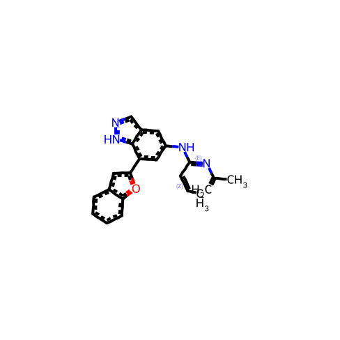 C=C(C)/N=C(\C=C/C)Nc1cc(-c2cc3ccccc3o2)c2[nH]ncc2c1